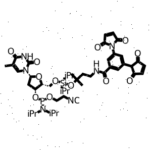 [C-]#[N+]CCOP(O[C@@H]1C[C@H](n2cc(C)c(=O)[nH]c2=O)O[C@@H]1CO[Si](OC(C)(C)CCNC(=O)c1cc(C2C(=O)C=CC2=O)cc(N2C(=O)C=CC2=O)c1)(C(C)C)C(C)C)N(C(C)C)C(C)C